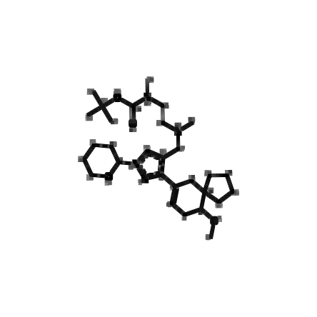 COC1CC=C(c2nn(C3CCCCO3)cc2CN(C)CCN(C)C(=O)OC(C)(C)C)CC12CCCC2